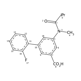 CC(C)C(=O)N(C)c1cc(C(=O)O)cc(-c2ccccc2F)c1